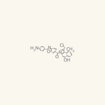 Cc1cccc2c(O)cc3c(c12)[C@H](CCl)CN3C(=O)c1ccc2nc(-c3ccc(N)cc3)oc2c1